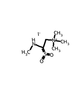 CNC(C[N+](C)(C)C)=S(=O)=O.[I-]